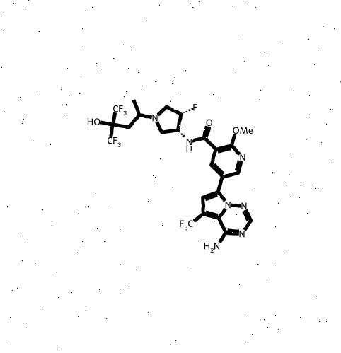 COc1ncc(-c2cc(C(F)(F)F)c3c(N)ncnn23)cc1C(=O)N[C@@H]1CN(C(C)CC(O)(C(F)(F)F)C(F)(F)F)C[C@@H]1F